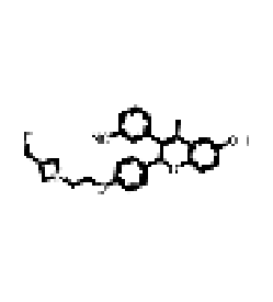 CC1=C(c2cccc(C#N)c2)C(c2ccc(OCCN3CC(CF)C3)cc2)Oc2ccc(O)cc21